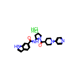 Cl.Cl.O=C(NC1CCCN1C(=O)C1CCN(c2ccncc2)CC1)c1ccc2cc[nH]c2c1